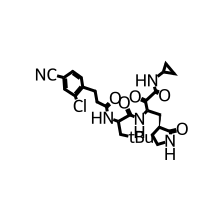 CC(C)(C)CC(NC(=O)CCc1ccc(C#N)cc1Cl)C(=O)NC(C[C@@H]1CCNC1=O)C(=O)C(=O)NC1CC1